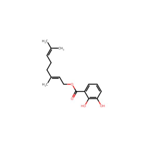 CC(C)=CCC/C(C)=C/COC(=O)c1cccc(O)c1O